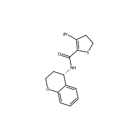 CC(C)C1=C(C(=O)N[C@H]2CCOc3ccccc32)SCC1